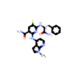 Cn1ccc2c(Nc3nc(N[C@H](Cc4ccccc4)C(N)=O)c(F)cc3C(N)=O)ccnc21